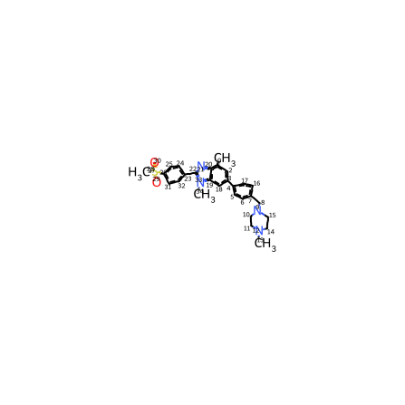 Cc1cc(-c2ccc(CN3CCN(C)CC3)cc2)cc2c1nc(-c1ccc(S(C)(=O)=O)cc1)n2C